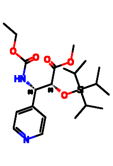 CCOC(=O)N[C@@H](c1ccncc1)[C@@H](O[Si](C(C)C)(C(C)C)C(C)C)C(=O)OC